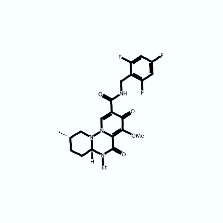 CCN1C(=O)c2c(OC)c(=O)c(C(=O)NCc3c(F)cc(F)cc3F)cn2N2C[C@@H](C)CC[C@@H]12